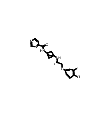 O=C(COc1ccc(Cl)c(F)c1)NC12CC(NC(=O)c3ccncn3)(C1)C2